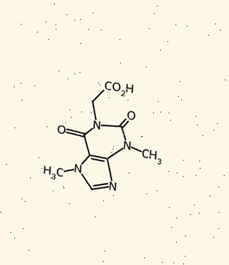 Cn1cnc2c1c(=O)n(CC(=O)O)c(=O)n2C